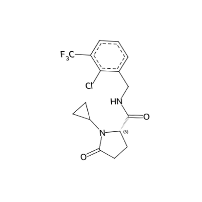 O=C(NCc1cccc(C(F)(F)F)c1Cl)[C@@H]1CCC(=O)N1C1CC1